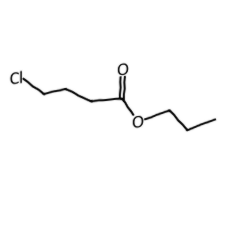 CCCOC(=O)CCCCl